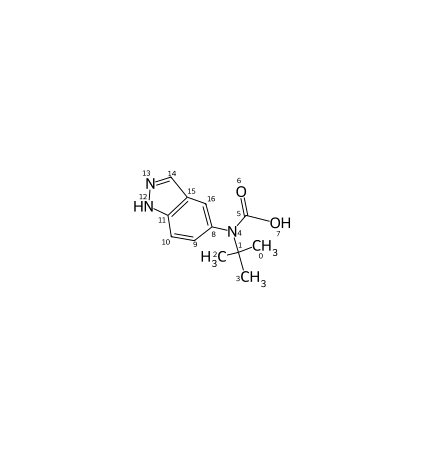 CC(C)(C)N(C(=O)O)c1ccc2[nH]ncc2c1